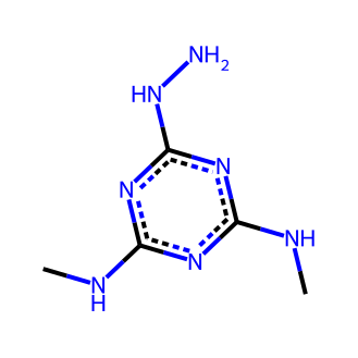 CNc1nc(NC)nc(NN)n1